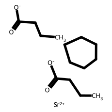 C1CCCCC1.CCCC(=O)[O-].CCCC(=O)[O-].[Sr+2]